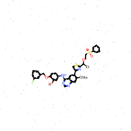 CCC(OCCS(=O)(=O)c1ccccc1)c1nc(-c2cc3c(Nc4ccc(OCc5cccc(F)c5)c(Br)c4)ncnc3cc2OC)cs1